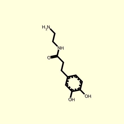 NCCNC(=O)CCc1ccc(O)c(O)c1